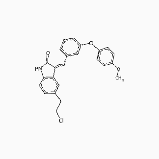 COc1ccc(Oc2cccc(C=C3C(=O)Nc4ccc(CCCl)cc43)c2)cc1